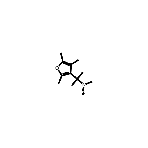 Cc1oc(C)c(C(C)(C)N(C)C(C)C)c1C